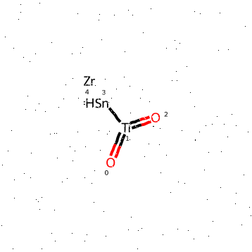 [O]=[Ti](=[O])[SnH].[Zr]